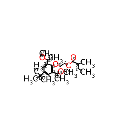 CCC(C)C(=O)OCCOc1c(C(C)OC)cc(C(C)(C)C)cc1C(C)OC